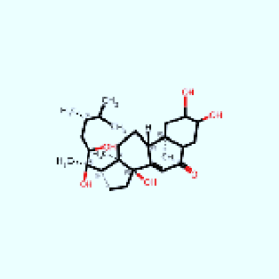 CC(C)[C@@H](C)CC(O)[C@](C)(O)[C@H]1CC[C@@]2(O)C3=CC(=O)C4CC(O)C(O)C[C@]4(C)[C@H]3CC[C@]12C